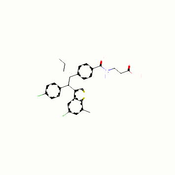 CCC[C@H](c1ccc(C(=O)NCCC(=O)O)cc1)C(c1ccc(Cl)cc1)c1csc2c(C)cc(Cl)cc12